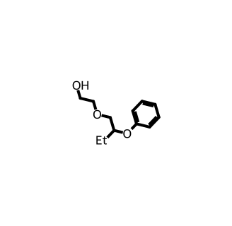 CCC(COCCO)Oc1ccccc1